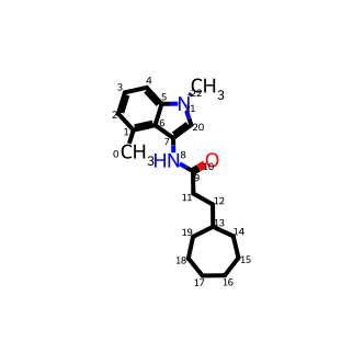 Cc1cccc2c1c(NC(=O)CCC1CCCCCC1)cn2C